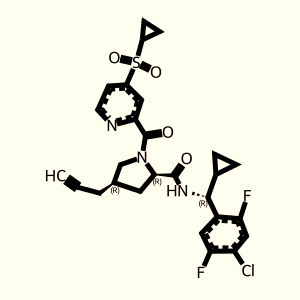 C#CC[C@@H]1C[C@H](C(=O)N[C@@H](c2cc(F)c(Cl)cc2F)C2CC2)N(C(=O)c2cc(S(=O)(=O)C3CC3)ccn2)C1